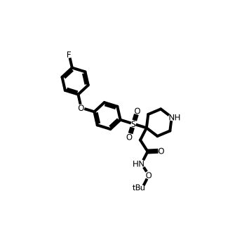 CC(C)(C)ONC(=O)CC1(S(=O)(=O)c2ccc(Oc3ccc(F)cc3)cc2)CCNCC1